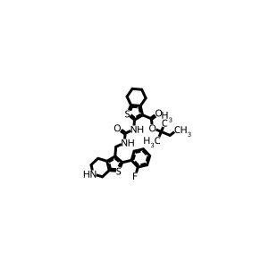 CCC(C)(C)OC(=O)c1c(NC(=O)NCc2c(-c3ccccc3F)sc3c2CCNC3)sc2c1CCCC2